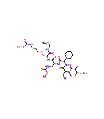 CCCCCCC(O)C(C)C(=O)N(C)C(CC(C)C)C(=O)NC(C(=O)NC(CNC(=O)OC(C)(C)C)C(=O)NC(COCCCNC(=O)OC(C)(C)C)C(=O)NCC(=O)O)C1CCCCC1